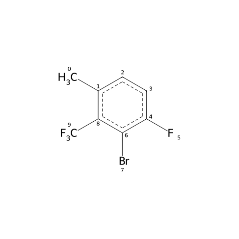 Cc1ccc(F)c(Br)c1C(F)(F)F